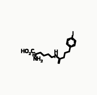 C=C(CCCc1ccc(I)cc1)NCCCC[C@H](N)C(=O)O